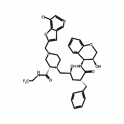 O=C(N[C@H]1c2ccccc2OC[C@H]1O)[C@H](Cc1ccccc1)C[C@H](O)CN1CCN(Cc2cc3cncc(Cl)c3o2)C[C@H]1C(=O)NCC(F)(F)F